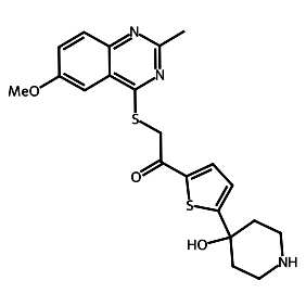 COc1ccc2nc(C)nc(SCC(=O)c3ccc(C4(O)CCNCC4)s3)c2c1